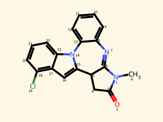 CN1C(=O)CC2C1=Nc1ccccc1-n1c2cc2c(Cl)cccc21